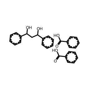 O=C(O)c1ccccc1.O=C(O)c1ccccc1.OC(CC(O)c1ccccc1)c1ccccc1